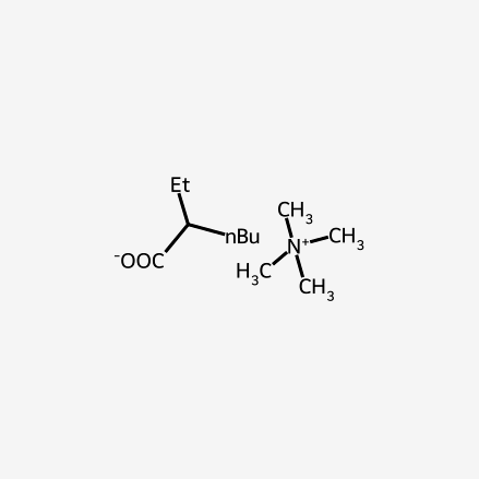 CCCCC(CC)C(=O)[O-].C[N+](C)(C)C